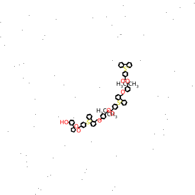 CC(C)(OC(=O)c1ccc(-[s+]2c3ccccc3c3c(COc4cccc(C(C)(C)OC(=O)c5ccc(-[s+]6c7ccccc7c7ccccc76)cc5)c4)cccc32)cc1)c1ccc(OCc2cccc3c2c2ccccc2[s+]3-c2ccc(C(=O)OC3(c4cccc(O)c4)CCCC3)cc2)cc1